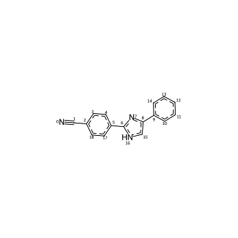 N#Cc1ccc(-c2nc(-c3ccccc3)c[nH]2)cc1